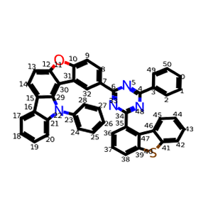 c1ccc(-c2nc(-c3ccc4oc5ccc6c7ccccc7n(-c7ccccc7)c6c5c4c3)nc(-c3cccc4sc5ccccc5c34)n2)cc1